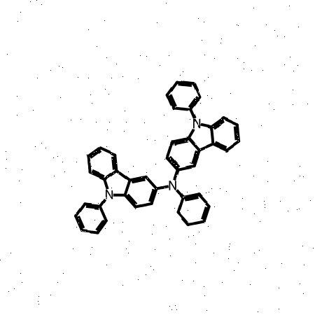 C1=CCCC(N(c2ccc3c(c2)c2ccccc2n3-c2ccccc2)c2ccc3c(c2)c2ccccc2n3-c2ccccc2)=C1